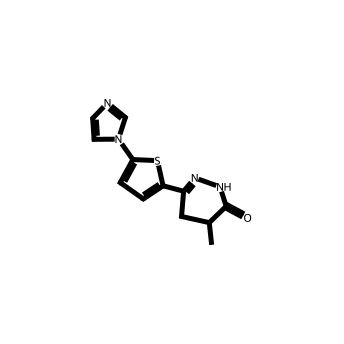 CC1CC(c2ccc(-n3ccnc3)s2)=NNC1=O